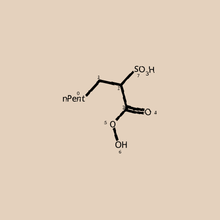 CCCCCCC(C(=O)OO)S(=O)(=O)O